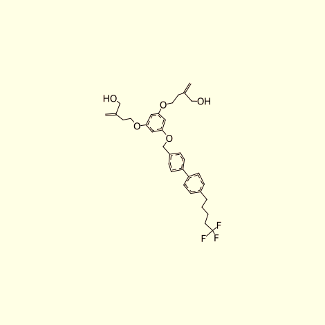 C=C(CO)CCOc1cc(OCCC(=C)CO)cc(OCc2ccc(-c3ccc(CCCCC(F)(F)F)cc3)cc2)c1